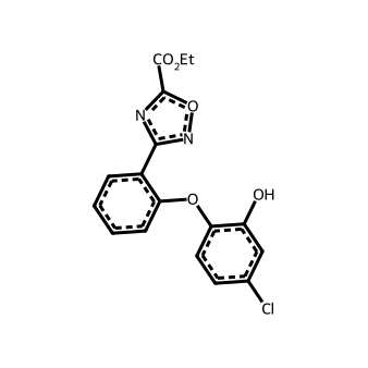 CCOC(=O)c1nc(-c2ccccc2Oc2ccc(Cl)cc2O)no1